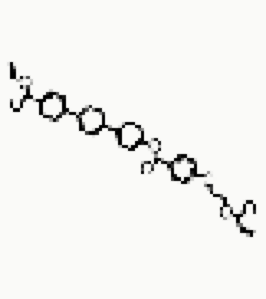 C=COC(=O)C1=CC=C(C2=CC=C(C3=CC=C(OC(=O)c4ccc(OCCOC(=O)C=C)cc4)CC3)CC2)CC1